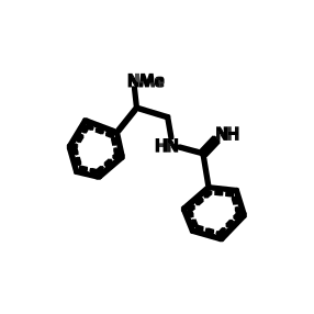 CNC(CNC(=N)c1ccccc1)c1ccccc1